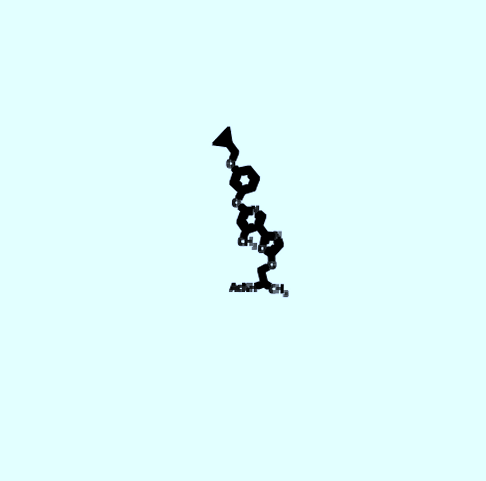 CC(=O)NC(C)COc1cnc(-c2cnc(Oc3cccc(OCC4CC4)c3)cc2C)o1